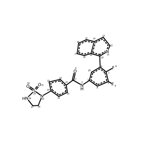 O=C(Nc1cc(F)c(F)c(-c2nccc3ccccc23)c1)c1ccc(N2CCNS2(=O)=O)cc1